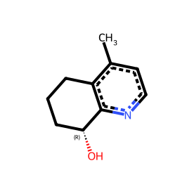 Cc1ccnc2c1CCC[C@H]2O